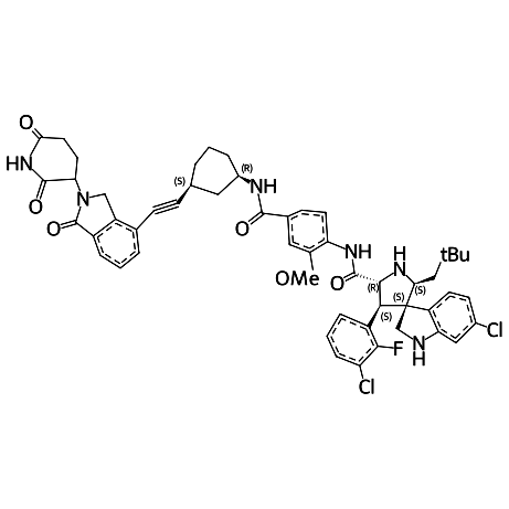 COc1cc(C(=O)N[C@@H]2CCC[C@H](C#Cc3cccc4c3CN(C3CCC(=O)NC3=O)C4=O)C2)ccc1NC(=O)[C@@H]1N[C@@H](CC(C)(C)C)[C@@]2(CNc3cc(Cl)ccc32)[C@H]1c1cccc(Cl)c1F